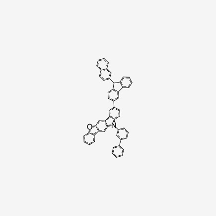 c1ccc(-c2cccc(-n3c4ccc(-c5ccc6c(c5)-c5ccccc5C6c5ccc6ccccc6c5)cc4c4cc5oc6ccccc6c5cc43)c2)cc1